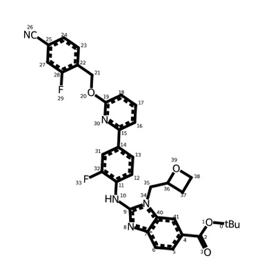 CC(C)(C)OC(=O)c1ccc2nc(Nc3ccc(-c4cccc(OCc5ccc(C#N)cc5F)n4)cc3F)n(CC3CCO3)c2c1